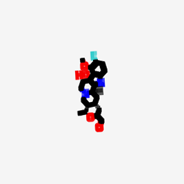 CC[C@@H]1CN2CC[C@@]3(O)C(=Nc4ccc(F)c(OC)c43)[C@H]2C[C@@H]1CC(=O)C=O